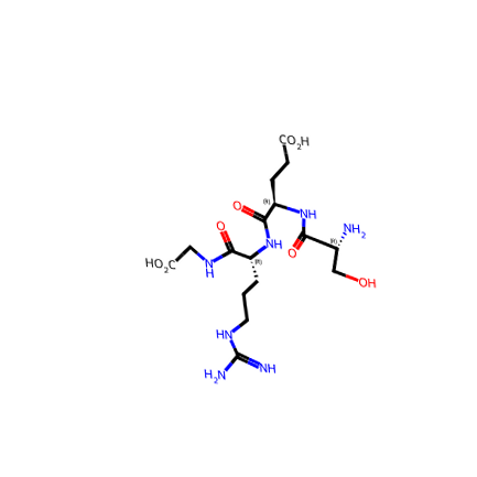 N=C(N)NCCC[C@@H](NC(=O)[C@@H](CCC(=O)O)NC(=O)[C@H](N)CO)C(=O)NCC(=O)O